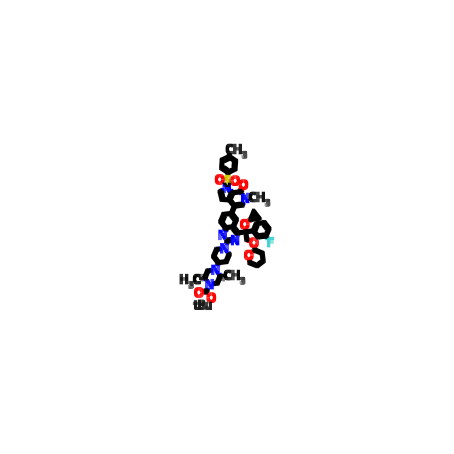 Cc1ccc(S(=O)(=O)n2ccc3c(-c4ccc5nc(N6CCC(N7C[C@@H](C)N(C(=O)OC(C)(C)C)C[C@@H]7C)CC6)nc(C(COC6CCCCO6)(OC6CC6)c6cccc(F)c6)c5c4)cn(C)c(=O)c32)cc1